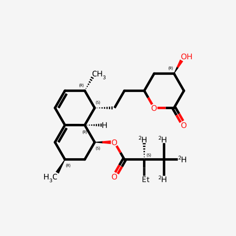 [2H]C([2H])([2H])[C@@]([2H])(CC)C(=O)O[C@H]1C[C@@H](C)C=C2C=C[C@H](C)[C@H](CCC3C[C@@H](O)CC(=O)O3)[C@H]21